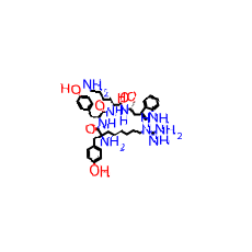 N=C(N)NCCCCCC[C@](N)(Cc1ccc(O)cc1)C(=O)N[C@@H](Cc1ccc(O)cc1)C(=O)N[C@@H](CCCCN)C(=O)N[C@H](CO)Cc1c[nH]c2ccccc12